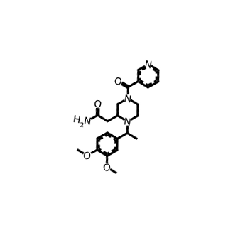 COc1ccc(C(C)N2CCN(C(=O)c3cccnc3)CC2CC(N)=O)cc1OC